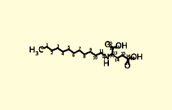 CCCCCCCCCCCCN[C@H](CCC(=O)O)C(=O)O